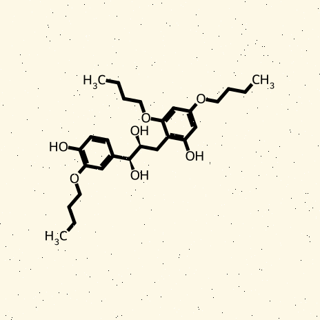 CCCCOc1cc(O)c(C[C@H](O)[C@@H](O)c2ccc(O)c(OCCCC)c2)c(OCCCC)c1